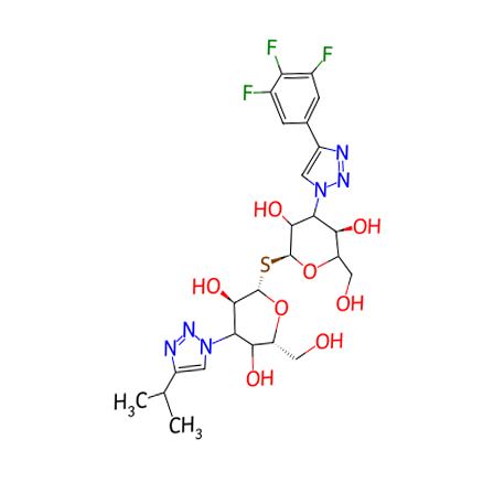 CC(C)c1cn(C2C(O)[C@@H](CO)O[C@@H](S[C@@H]3OC(CO)[C@H](O)C(n4cc(-c5cc(F)c(F)c(F)c5)nn4)C3O)[C@@H]2O)nn1